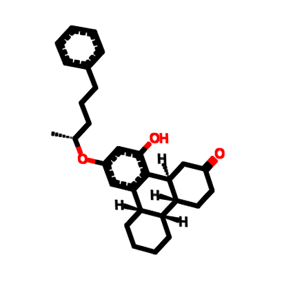 C[C@H](CCCc1ccccc1)Oc1cc(O)c2c(c1)[C@H]1CCCC[C@H]1[C@H]1CCC(=O)C[C@H]21